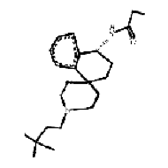 CCC(=O)N[C@@H]1CCC2(CCN(CCC(C)(C)C)CC2)c2ccccc21